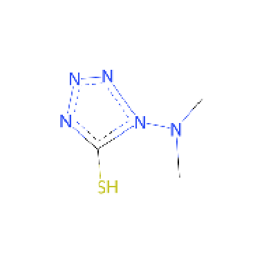 CN(C)n1nnnc1S